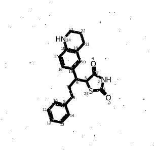 O=C1NC(=O)C(C(CCc2ccccc2)c2ccc3c(c2)CCCN3)S1